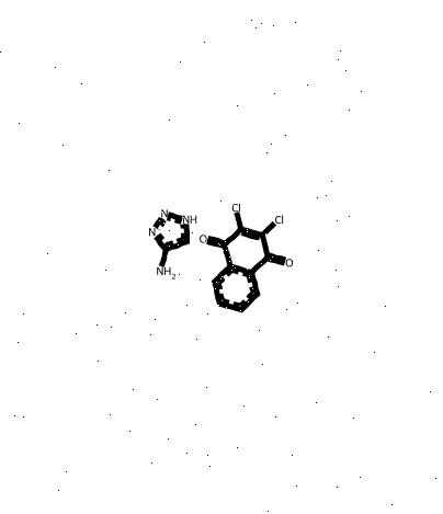 Nc1c[nH]nn1.O=C1C(Cl)=C(Cl)C(=O)c2ccccc21